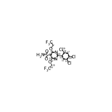 NS(=O)(=O)c1c(OCC(F)(F)F)nc(-c2cc(Cl)c(Cl)cc2Cl)nc1OCC(F)(F)F